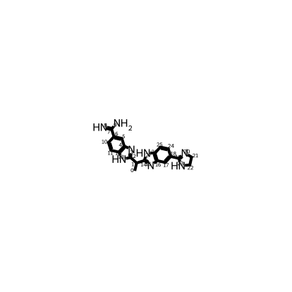 CC(c1nc2cc(C(=N)N)ccc2[nH]1)c1nc2cc(C3=NCCN3)ccc2[nH]1